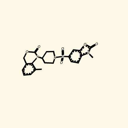 Cc1cccc2c1N(C1CCN(S(=O)(=O)c3ccc4c(c3)oc(=O)n4C)CC1)C(=O)OC2